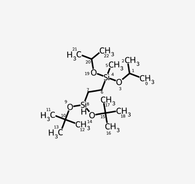 CC(C)O[Si](C)(CC[SiH](OC(C)(C)C)OC(C)(C)C)OC(C)C